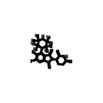 [2H]C1([2H])NC([2H])([2H])C([2H])([2H])N(c2c(F)c(F)cc3c2C(=O)N(C2CCC(=O)NC2=O)C3=O)C1([2H])[2H]